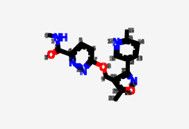 CNC(=O)c1ccc(OCc2c(-c3ccc(C)nc3)noc2C)nn1